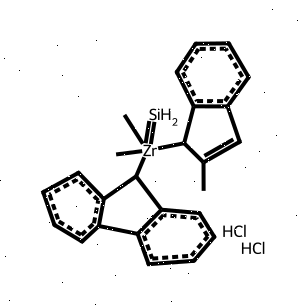 CC1=Cc2ccccc2[CH]1[Zr]([CH3])([CH3])(=[SiH2])[CH]1c2ccccc2-c2ccccc21.Cl.Cl